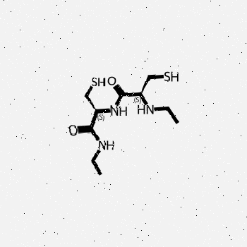 CCNC(=O)[C@@H](CS)NC(=O)[C@@H](CS)NCC